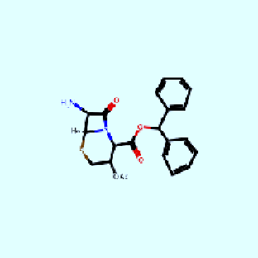 CC(=O)OC1CS[C@H]2C(N)C(=O)N2C1C(=O)OC(c1ccccc1)c1ccccc1